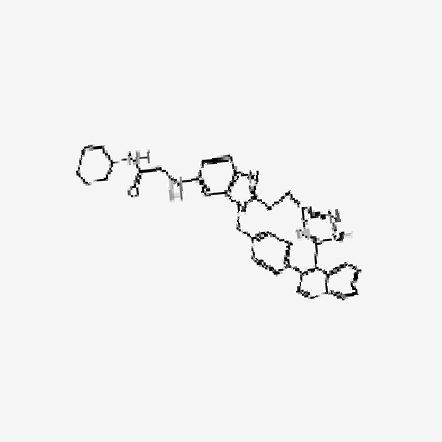 CCCc1nc2ccc(NCC(=O)NC3CCCCC3)cc2n1Cc1ccc(-c2ccc3ccccc3c2-c2nnn[nH]2)cc1